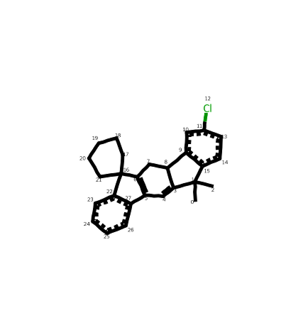 CC1(C)C2=CC3=C(CC2c2cc(Cl)ccc21)C1(CCCCC1)c1ccccc13